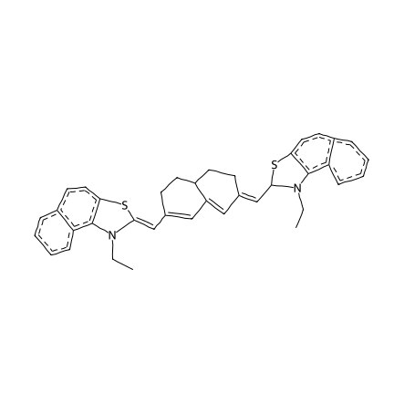 CCN1/C(=C/C2=CC3=C/C(=C/C4Sc5ccc6ccccc6c5N4CC)CCC3CC2)Sc2ccc3ccccc3c21